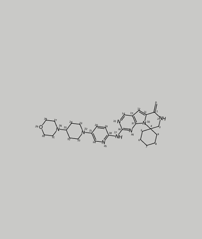 C=C1NCC2(CCCCC2)n2c1cc1cnc(Nc3ccc(N4CCC(N5CCOCC5)CC4)cn3)nc12